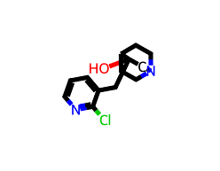 OC1(Cc2cccnc2Cl)CN2CCC1CC2